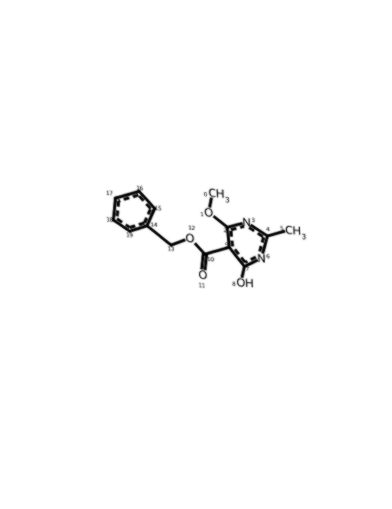 COc1nc(C)nc(O)c1C(=O)OCc1ccccc1